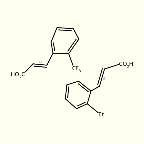 CCc1ccccc1/C=C/C(=O)O.O=C(O)/C=C/c1ccccc1C(F)(F)F